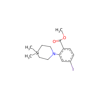 COC(=O)c1ccc(I)cc1N1CC[Si](C)(C)CC1